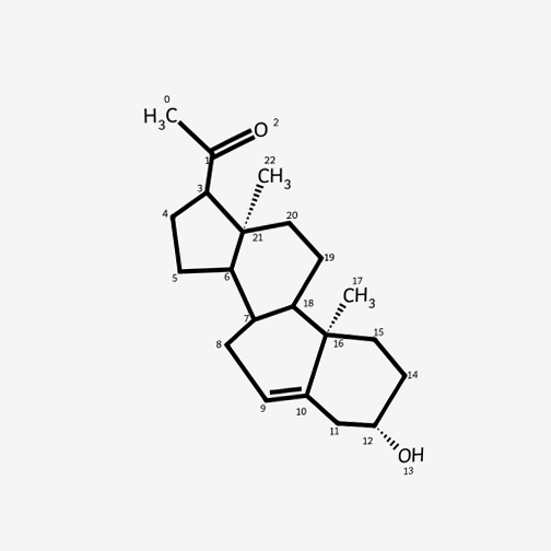 CC(=O)C1CCC2C3CC=C4C[C@@H](O)CC[C@]4(C)C3CC[C@]12C